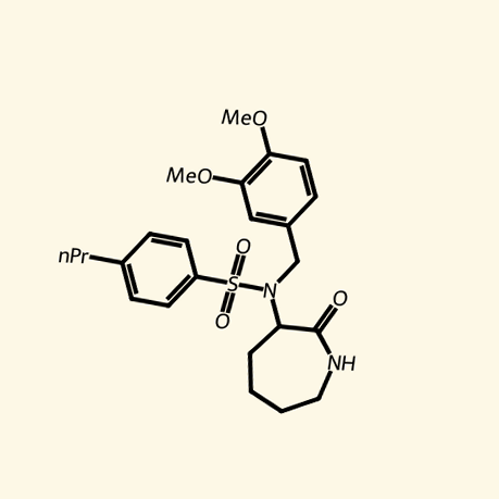 CCCc1ccc(S(=O)(=O)N(Cc2ccc(OC)c(OC)c2)C2CCCCNC2=O)cc1